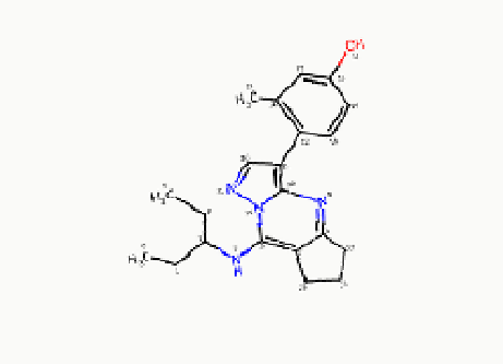 CCC(CC)Nc1c2c(nc3c(-c4ccc(O)cc4C)cnn13)CCC2